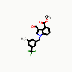 COC(=O)c1cccc2c1c(C=O)cn2Cc1cc(C)cc(C(F)(F)F)c1